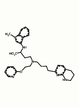 Cn1cc(NC(CCN(CCCCc2ccc3c(n2)NCCC3)CCOc2ccccn2)C(=O)O)c2ccccc21